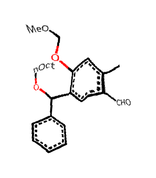 CCCCCCCCOC(c1ccccc1)c1cc(C=O)c(C)cc1OCOC